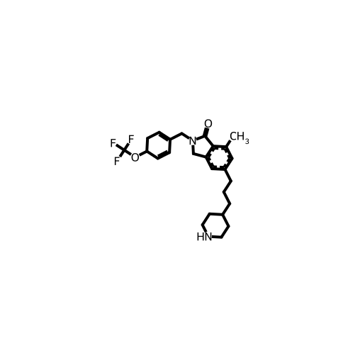 Cc1cc(CCCC2CCNCC2)cc2c1C(=O)N(CC1=CCC(OC(F)(F)F)C=C1)C2